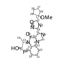 COC1(c2nc(-c3ncn4c3c(=O)n(C(C)CO)c3c(F)cccc34)no2)CCCC1